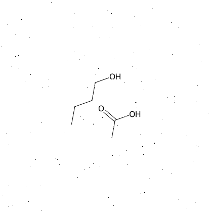 CC(=O)O.CCCCO